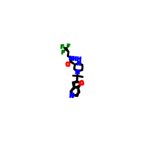 CC(C)(c1cc2cnccc2o1)N1CCN[C@H](C(=O)NCCC(F)(F)F)C1